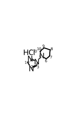 Cl.c1ncn(N2CCCCC2)n1